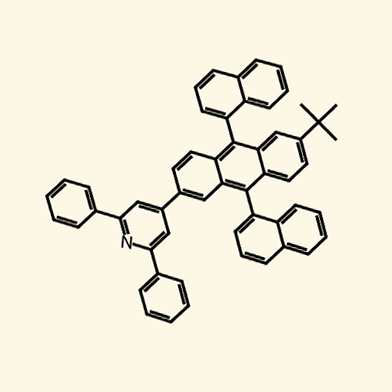 CC(C)(C)c1ccc2c(-c3cccc4ccccc34)c3cc(-c4cc(-c5ccccc5)nc(-c5ccccc5)c4)ccc3c(-c3cccc4ccccc34)c2c1